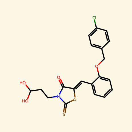 O=C1/C(=C/c2ccccc2OCc2ccc(Cl)cc2)SC(=S)N1CCC(O)O